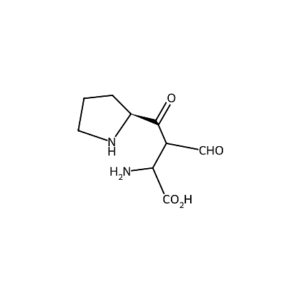 NC(C(=O)O)C(C=O)C(=O)[C@@H]1CCCN1